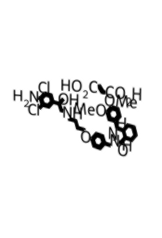 COc1ccc(C2=NN(Cc3ccc(OCCCCNCC(O)c4cc(Cl)c(N)c(Cl)c4)cc3)C(=O)[C@@H]3CC=CC[C@H]23)cc1OC.O=C(O)/C=C/C(=O)O